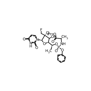 CC(C)OC(=O)[C@H](C)NP(=O)(Oc1ccccc1)O[C@@H](C)[C@H]1O[C@@H](n2ccc(=O)[nH]c2=O)[C@@](Cl)(CF)C1O